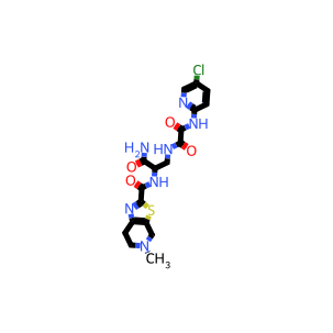 CN1CCc2nc(C(=O)NC(CNC(=O)C(=O)Nc3ccc(Cl)cn3)C(N)=O)sc2C1